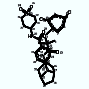 CC(C)(Oc1ccc(Cl)cc1Cl)C(=O)NC1CC2CCC(C1)N2c1ccc(C(=O)NC2CCS(=O)(=O)CC2)cn1